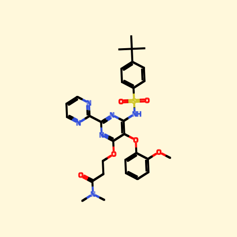 COc1ccccc1Oc1c(NS(=O)(=O)c2ccc(C(C)(C)C)cc2)nc(-c2ncccn2)nc1OCCC(=O)N(C)C